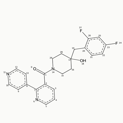 O=C(c1cccnc1-c1ccncc1)N1CCC(O)(Cc2ccc(F)cc2F)CC1